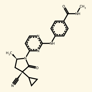 CNC(=O)c1ccc(Nc2nccc(N3C(=O)[C@](C#N)(C4CC4)C[C@H]3C)n2)cc1